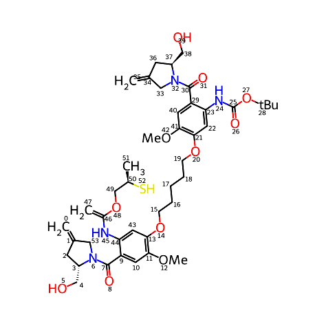 C=C1C[C@@H](CO)N(C(=O)c2cc(OC)c(OCCCCCOc3cc(NC(=O)OC(C)(C)C)c(C(=O)N4CC(=C)C[C@H]4CO)cc3OC)cc2NC(=C)OC[C@@H](C)S)C1